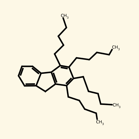 CCCCCc1c2c(c(CCCCC)c(CCCCC)c1CCCCC)-c1ccccc1[CH]2